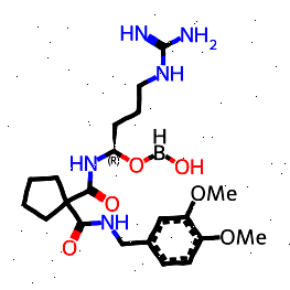 COc1ccc(CNC(=O)C2(C(=O)N[C@@H](CCCNC(=N)N)OBO)CCCC2)cc1OC